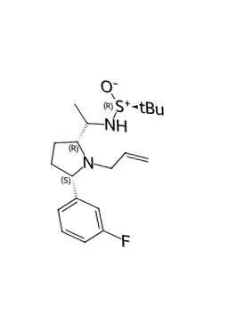 C=CCN1[C@@H](C(C)N[S@@+]([O-])C(C)(C)C)CC[C@H]1c1cccc(F)c1